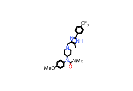 CNC(=O)N(c1ccc(OC)cc1)C1CCN(Cc2nc(-c3ccc(C(F)(F)F)cc3)[nH]c2C)CC1